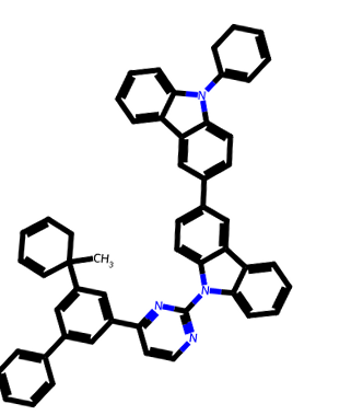 CC1(c2cc(-c3ccccc3)cc(-c3ccnc(-n4c5ccccc5c5cc(-c6ccc7c(c6)c6ccccc6n7C6=CC=CCC6)ccc54)n3)c2)C=CC=CC1